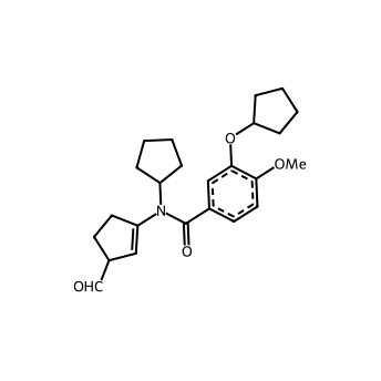 COc1ccc(C(=O)N(C2=CC(C=O)CC2)C2CCCC2)cc1OC1CCCC1